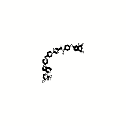 N#Cc1ccc(OC2CCC(NC(=O)c3cnc(N4CCC(CN5CCC(n6ccc7c(N8CCC(=O)NC8=O)nccc76)CC5)CC4)cn3)CC2)cc1C(F)(F)F